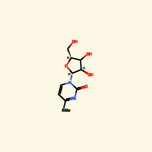 CNc1ccn([C@@H]2O[C@H](CO)C(O)[C@H]2O)c(=O)n1